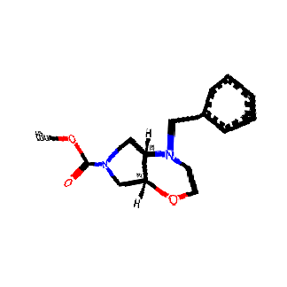 CC(C)(C)OC(=O)N1C[C@H]2OCCN(Cc3ccccc3)[C@H]2C1